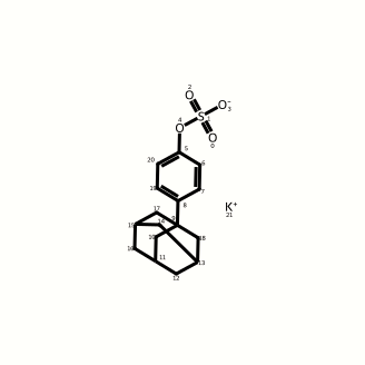 O=S(=O)([O-])Oc1ccc(C23CC4CC(CC(C4)C2)C3)cc1.[K+]